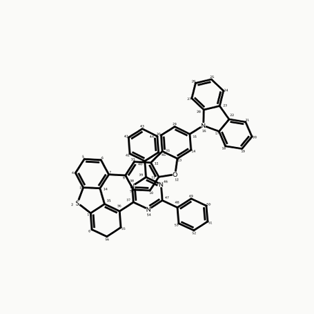 C1=c2sc3cccc(-c4ccc5oc6cc(-n7c8ccccc8c8ccccc87)ccc6c5c4)c3c2=C(c2nc(-c3ccccc3)nc(-c3ccccc3)n2)CC1